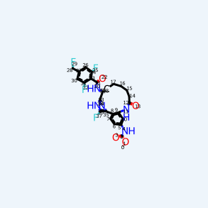 COC(=O)Nc1ccc2c(c1)NC(=O)CCCCC[C@H](NC(=O)c1c(F)cc(CF)cc1F)c1nc-2c(F)[nH]1